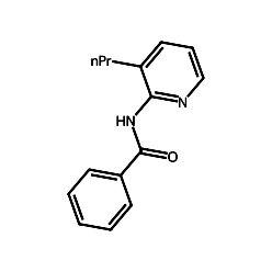 CCCc1cccnc1NC(=O)c1ccccc1